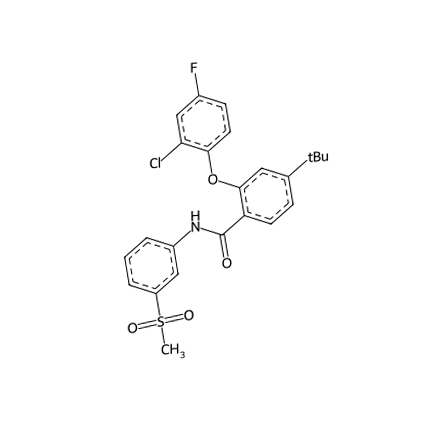 CC(C)(C)c1ccc(C(=O)Nc2cccc(S(C)(=O)=O)c2)c(Oc2ccc(F)cc2Cl)c1